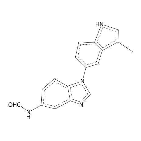 Cc1c[nH]c2ccc(-n3cnc4cc(NC=O)ccc43)cc12